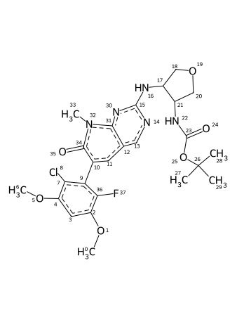 COc1cc(OC)c(Cl)c(-c2cc3cnc(NC4COCC4NC(=O)OC(C)(C)C)nc3n(C)c2=O)c1F